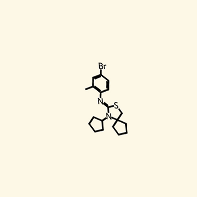 Cc1cc(Br)ccc1N=C1SCC2(CCCC2)N1C1CCCC1